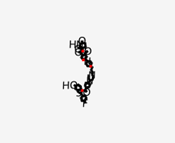 O=C1CCC(N2C(=O)c3ccc(N4CCC(CCCN5CCN(c6ccc(C(=O)c7c(-c8ccc(F)cc8)sc8cc(O)ccc78)cc6)CC5)CC4)cc3C2=O)C(=O)N1